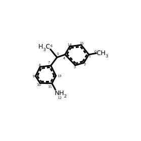 Cc1ccc(C(C)c2cccc(N)c2)cc1